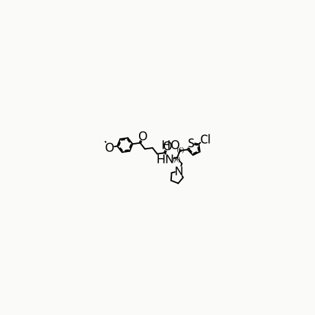 COc1ccc(C(=O)CCCC(=O)N[C@H](CN2CCCC2)[C@H](O)c2ccc(Cl)s2)cc1